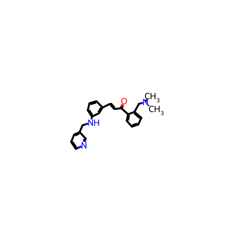 CN(C)Cc1ccccc1C(=O)C=Cc1cccc(NCc2cccnc2)c1